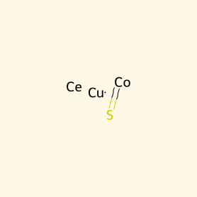 [Ce].[Cu].[S]=[Co]